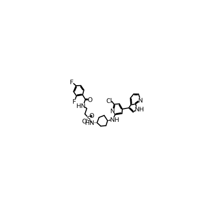 O=C(NCCS(=O)(=O)N[C@H]1CC[C@H](Nc2cc(-c3c[nH]c4ncccc34)cc(Cl)n2)CC1)c1ccc(F)cc1F